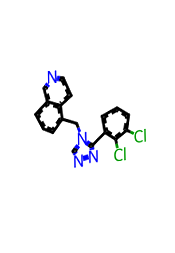 Clc1cccc(-c2nncn2Cc2cccc3cnccc23)c1Cl